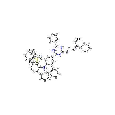 C=C/C=C(\C=C)c1cc(C2=NC(/C=C/C=C(\C=C)c3ccccc3)=NC(c3ccccc3)N2)cc(-c2ccccc2)c1-n1c2ccccc2c2ccc3c4ccccc4sc3c21